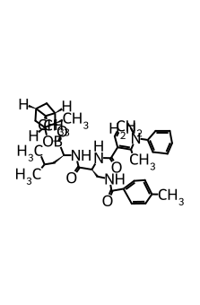 C=C/C(C(=O)N[C@@H](CNC(=O)c1ccc(C)cc1)C(=O)N[C@@H](CC(C)C)B1O[C@@H]2C[C@@H]3C[C@@H](C3(C)C)[C@]2(C)O1)=C(/C)N(N)c1ccccc1